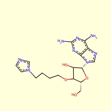 Nc1nc(N)c2ncn([C@@H]3O[C@H](CO)C(OCCCCn4ccnc4)C3O)c2n1